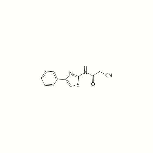 N#CCC(=O)Nc1nc(-c2ccccc2)cs1